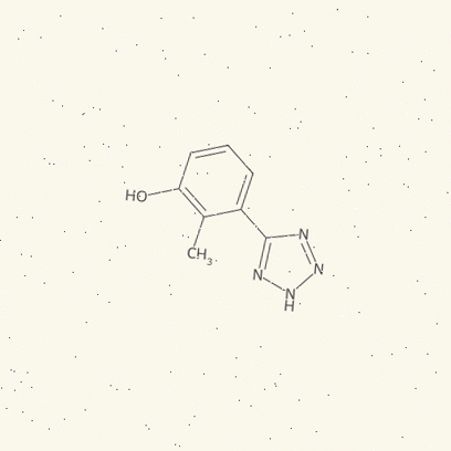 Cc1c(O)cccc1-c1nn[nH]n1